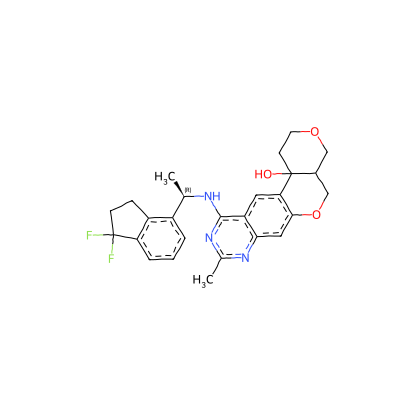 Cc1nc(N[C@H](C)c2cccc3c2CCC3(F)F)c2cc3c(cc2n1)OCC1COCCC31O